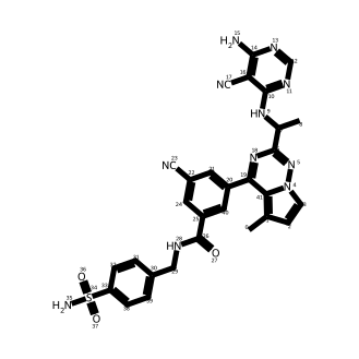 Cc1ccn2nc(C(C)Nc3ncnc(N)c3C#N)nc(-c3cc(C#N)cc(C(=O)NCc4ccc(S(N)(=O)=O)cc4)c3)c12